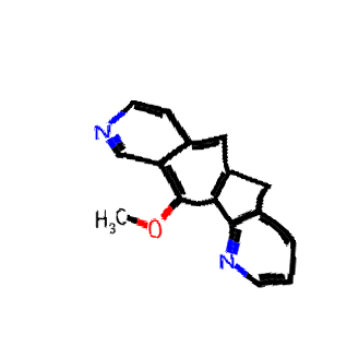 COc1c2c(cc3ccncc13)Cc1cccnc1-2